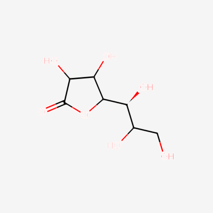 O=C1OC([C@@H](O)C(O)CO)C(O)C1O